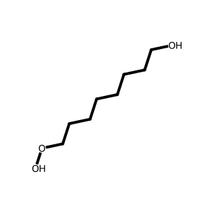 OCCCCCCCCOO